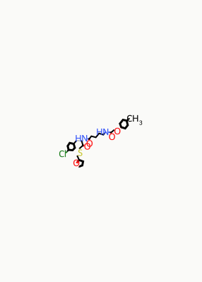 Cc1ccc(OCC(=O)NCCCCC(=O)N[C@@H](Cc2ccc(Cl)cc2)C(=O)CSCc2ccco2)cc1